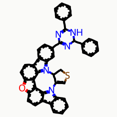 C1=C2C(CS1)n1c3cc(C4=NC(c5ccccc5)NC(c5ccccc5)=N4)ccc3c3ccc4oc5ccc6c7ccccc7n2c6c5c4c31